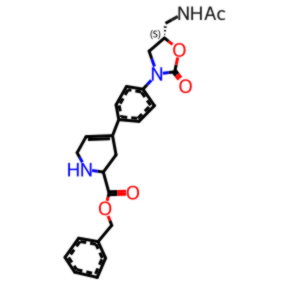 CC(=O)NC[C@H]1CN(c2ccc(C3=CCNC(C(=O)OCc4ccccc4)C3)cc2)C(=O)O1